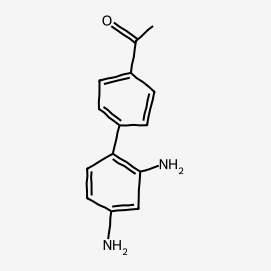 CC(=O)c1ccc(-c2ccc(N)cc2N)cc1